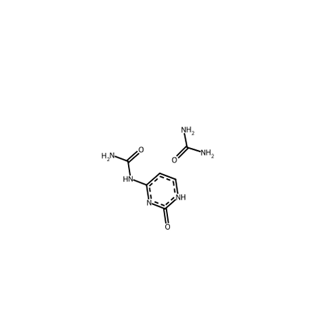 NC(=O)Nc1cc[nH]c(=O)n1.NC(N)=O